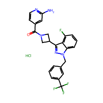 Cl.Nc1cc(C(=O)N2CC(c3nn(Cc4cccc(C(F)(F)F)c4)c4cccc(F)c34)C2)ccn1